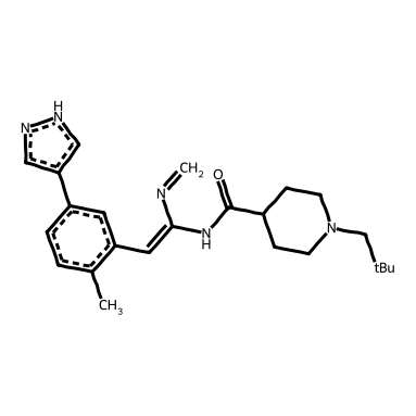 C=N/C(=C\c1cc(-c2cn[nH]c2)ccc1C)NC(=O)C1CCN(CC(C)(C)C)CC1